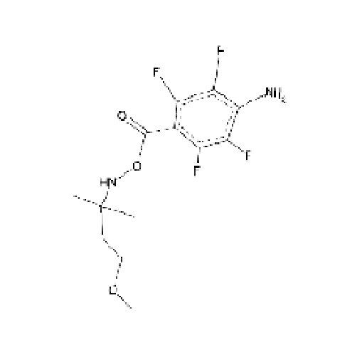 COCCC(C)(C)NOC(=O)c1c(F)c(F)c(N)c(F)c1F